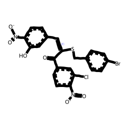 O=C(/C(=C\c1ccc([N+](=O)[O-])c(O)c1)SCc1ccc(Br)cc1)c1ccc([N+](=O)[O-])c(Cl)c1